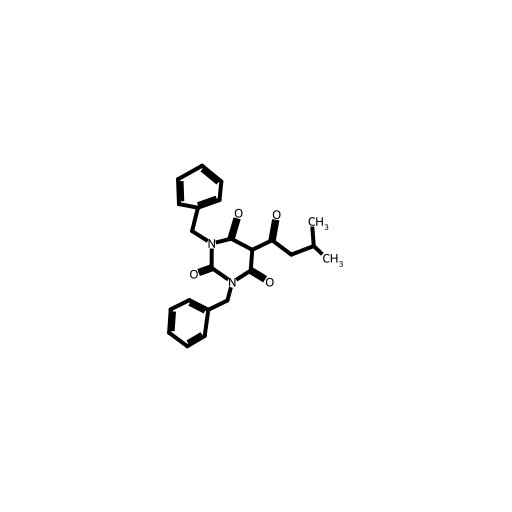 CC(C)CC(=O)C1C(=O)N(Cc2ccccc2)C(=O)N(Cc2ccccc2)C1=O